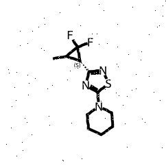 CC1[C@@H](c2nsc(N3CCCCC3)n2)C1(F)F